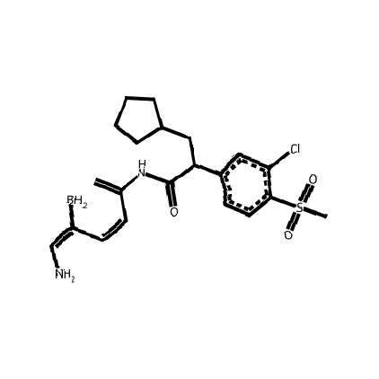 BC(/C=C\C(=C)NC(=O)C(CC1CCCC1)c1ccc(S(C)(=O)=O)c(Cl)c1)=C/N